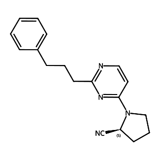 N#C[C@@H]1CCCN1c1ccnc(CCCc2ccccc2)n1